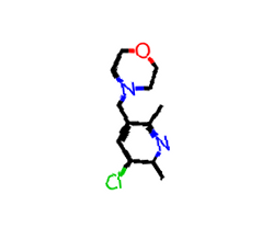 CC1=NC(C)C(Cl)C=C1CN1CCOCC1